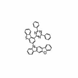 c1ccc(-c2nc(-c3ccccc3)nc(-c3cc(-n4c5ccccc5c5cc6oc7ccccc7c6cc54)cc4sc5ccccc5c34)n2)cc1